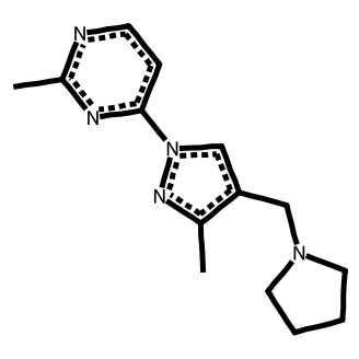 Cc1nccc(-n2cc(CN3CCCC3)c(C)n2)n1